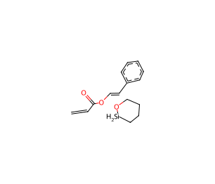 C1CC[SiH2]OC1.C=CC(=O)O/C=C/c1ccccc1